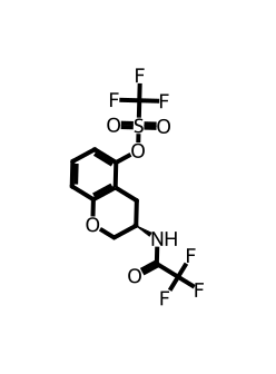 O=C(N[C@H]1COc2cccc(OS(=O)(=O)C(F)(F)F)c2C1)C(F)(F)F